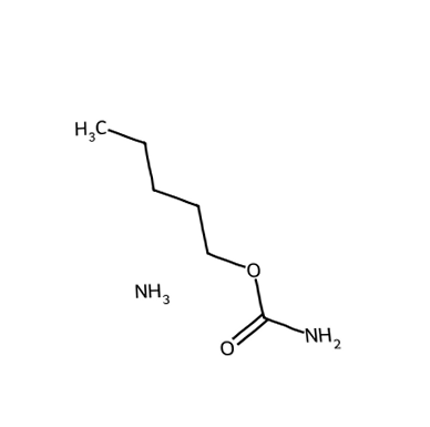 CCCCCOC(N)=O.N